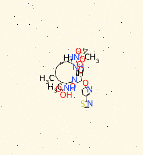 C[C@@H]1CC/C=C\[C@@H]2C[C@@]2(C(=O)NS(=O)(=O)C2(C)CC2)NC(=O)[C@@H]2C[C@@H](Oc3ccc(-c4nccs4)cn3)CN2C(=O)[C@@H](NC(=O)O)[C@H](C)C1